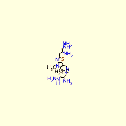 CN(C/C(N)=C/NN)/N=C\c1c(C=O)n(C)c2nc(C/C(N)=C/NN)sc12